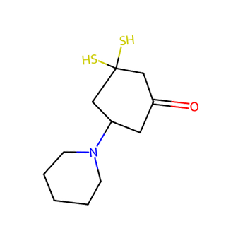 O=C1CC(N2CCCCC2)CC(S)(S)C1